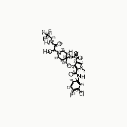 Cn1cc2c(c1C(=O)Nc1ccc(F)c(Cl)c1)OCC1(CCN(C(O)C(=O)NCC(F)(F)F)CC1)NS2(=O)=O